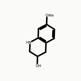 COc1ccc2c(c1)NCC(O)C2